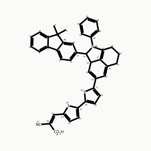 CC1(C)c2ccccc2-c2ccc(C3C4C=C(c5ccc(-c6ccc(/C=C(/C#N)C(=O)O)s6)s5)C=C5CCCC(=C54)N3c3ccccc3)cc21